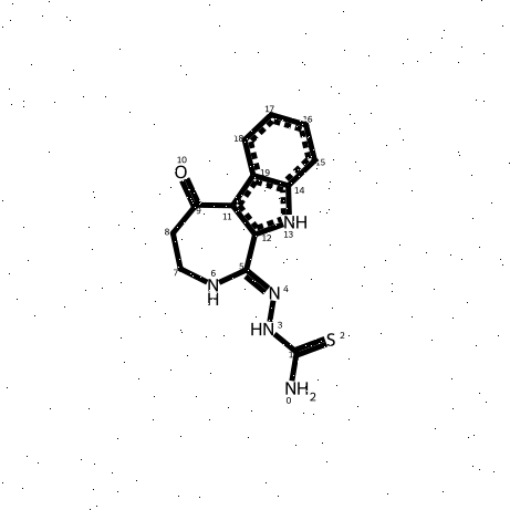 NC(=S)N/N=C1\NCCC(=O)c2c1[nH]c1ccccc21